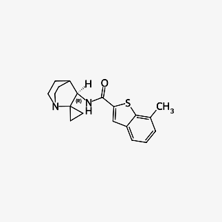 Cc1cccc2cc(C(=O)N[C@@H]3C4CCN(CC4)C34CC4)sc12